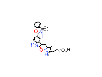 CC[C@@H](NC(=O)c1ccc2c(c1)C(=Cc1[nH]c(C)c(CCC(=O)O)c1C)C(=O)N2)c1ccccc1